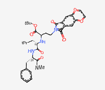 CNC(=O)[C@H](Cc1ccccc1)NC(=O)[C@H](CC(C)C)NC(CCn1c(=O)c2cc3occoc3cc2c1=O)C(=O)OC(C)(C)C